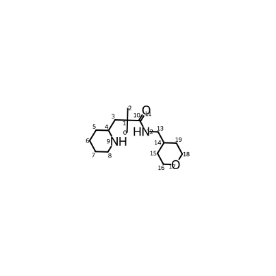 CC(C)(CC1CCCCN1)C(=O)NCC1CCOCC1